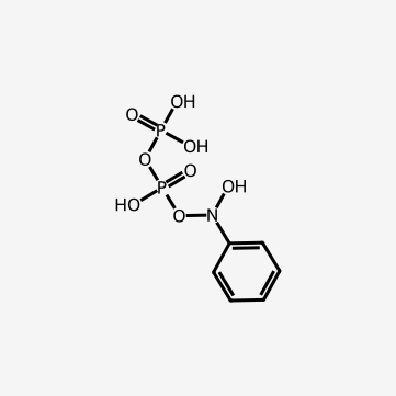 O=P(O)(O)OP(=O)(O)ON(O)c1ccccc1